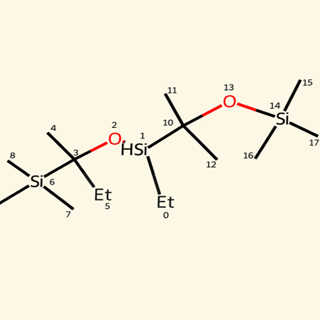 CC[SiH](OC(C)(CC)[Si](C)(C)C)C(C)(C)O[Si](C)(C)C